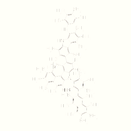 Bc1cc(Bc2c(B)c(B)c(B)c3c2[nH]c2c(B)c(B)c(-c4c(B)c(B)c5c(c4B)c4c6c(B)c(B)c(B)c(B)c6c(B)c(B)c4n5-c4c(B)c(B)c(B)c(-c5c(B)c(B)c6c(B)c(B)c(B)c(B)c6c5B)c4B)c(B)c23)c(B)c(B)c1B